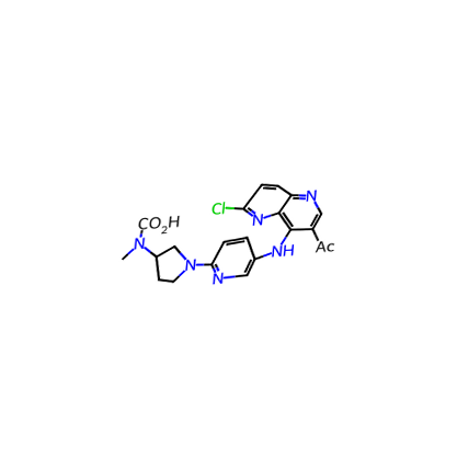 CC(=O)c1cnc2ccc(Cl)nc2c1Nc1ccc(N2CCC(N(C)C(=O)O)C2)nc1